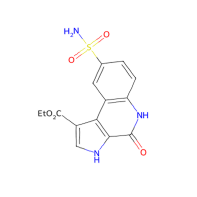 CCOC(=O)c1c[nH]c2c(=O)[nH]c3ccc(S(N)(=O)=O)cc3c12